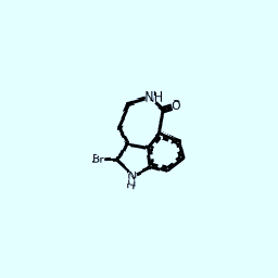 O=C1NCCC2c3c(cccc31)NC2Br